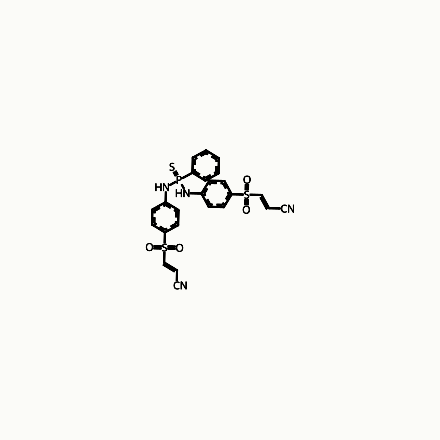 N#CC=CS(=O)(=O)c1ccc(NP(=S)(Nc2ccc(S(=O)(=O)C=CC#N)cc2)c2ccccc2)cc1